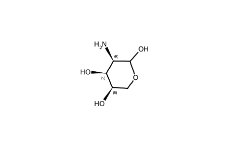 N[C@H]1C(O)OC[C@@H](O)[C@H]1O